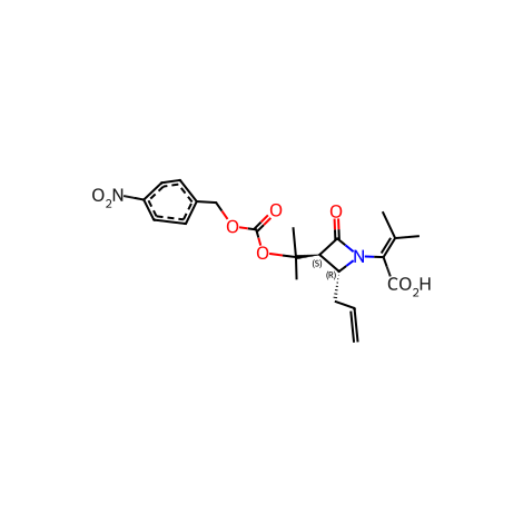 C=CC[C@@H]1[C@@H](C(C)(C)OC(=O)OCc2ccc([N+](=O)[O-])cc2)C(=O)N1C(C(=O)O)=C(C)C